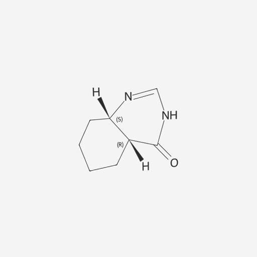 O=C1NC=N[C@H]2CCCC[C@@H]12